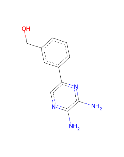 Nc1ncc(-c2cccc(CO)c2)nc1N